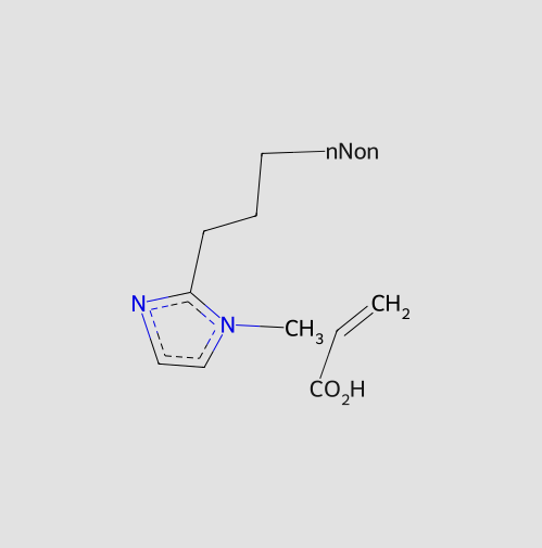 C=CC(=O)O.CCCCCCCCCCCCc1nccn1C